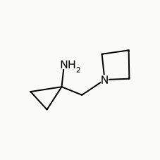 NC1(CN2CCC2)CC1